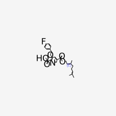 CC(C)=CCC/C(C)=C/COC(=O)c1cnc(C(=O)O)c(OCc2ccc(F)cc2)c1